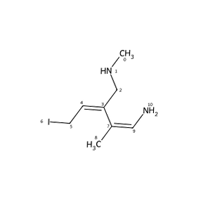 CNCC(=C/CI)/C(C)=C\N